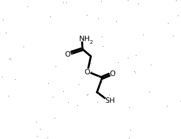 NC(=O)COC(=O)CS